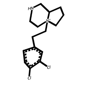 Clc1ccc(CC[N+]23CCCC2CNCC3)cc1Cl